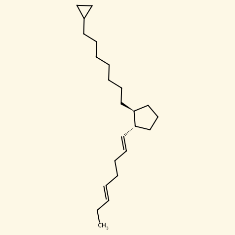 CC/C=C/CC/C=C/[C@H]1CCC[C@@H]1CCCCCCCC1CC1